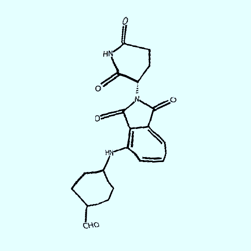 O=CC1CCC(Nc2cccc3c2C(=O)N([C@H]2CCC(=O)NC2=O)C3=O)CC1